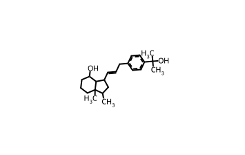 CC1CC(C=CCc2ccc(C(C)(C)O)cc2)C2C(O)CCCC12C